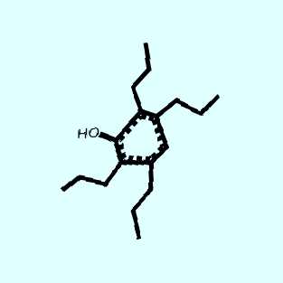 CCCc1cc(CCC)c(CCC)c(O)c1CCC